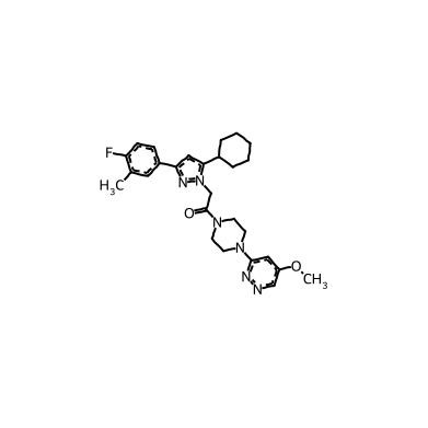 COc1cnnc(N2CCN(C(=O)Cn3nc(-c4ccc(F)c(C)c4)cc3C3CCCCC3)CC2)c1